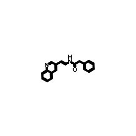 O=C(Cc1ccccc1)NC=Cc1cnc2ccccc2c1